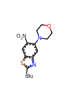 CC(C)(C)c1nc2cc(N3CCOCC3)c([N+](=O)[O-])cc2s1